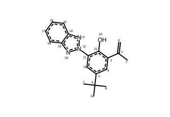 C=C(C)c1cc(C(C)(C)C)cc(-n2nc3ccccc3n2)c1O